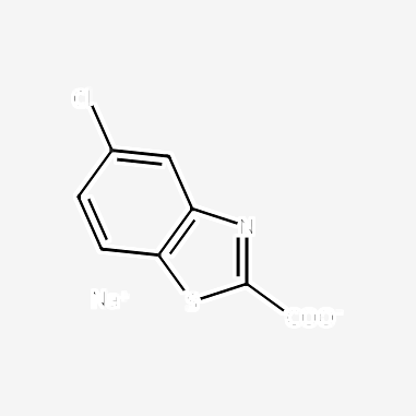 O=C([O-])c1nc2cc(Cl)ccc2s1.[Na+]